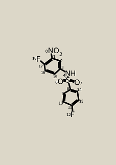 O=[N+]([O-])c1cc(NS(=O)(=O)c2ccc(F)cc2)ccc1F